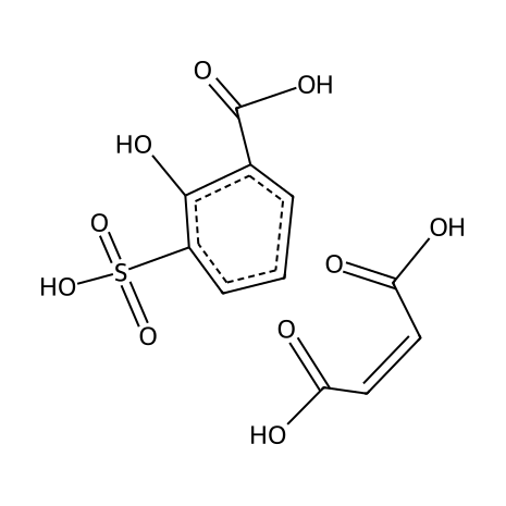 O=C(O)/C=C\C(=O)O.O=C(O)c1cccc(S(=O)(=O)O)c1O